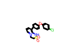 O=S1(=O)CC[n+]2cccc(-c3ccc(Oc4ccc(Cl)cc4)cc3)c2N1